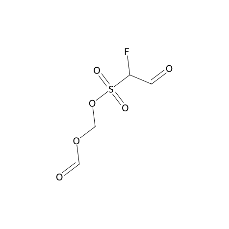 O=COCOS(=O)(=O)C(F)C=O